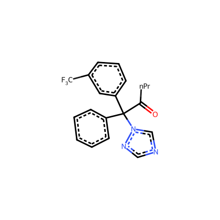 CCCC(=O)C(c1ccccc1)(c1cccc(C(F)(F)F)c1)n1cncn1